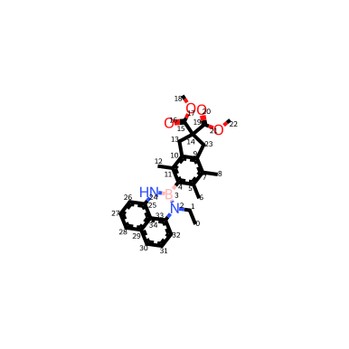 CCN1B(c2c(C)c(C)c3c(c2C)CC(C(=O)OC)(C(=O)OC)C3)Nc2cccc3cccc1c23